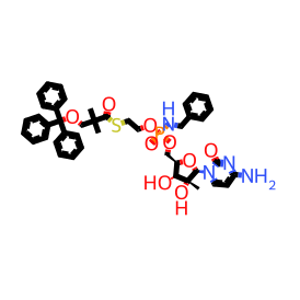 CC(C)(COC(c1ccccc1)(c1ccccc1)c1ccccc1)C(=O)SCCOP(=O)(NCc1ccccc1)OC[C@H]1O[C@@H](n2ccc(N)nc2=O)[C@](C)(O)[C@@H]1O